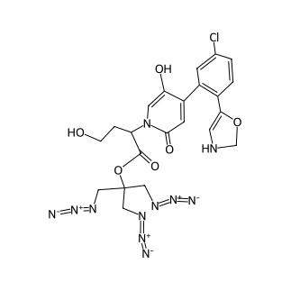 [N-]=[N+]=NCC(CN=[N+]=[N-])(CN=[N+]=[N-])OC(=O)C(CCO)n1cc(O)c(-c2cc(Cl)ccc2C2=CNCO2)cc1=O